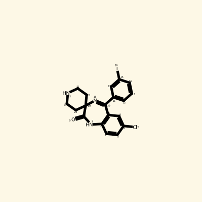 O=C1Nc2ccc(Cl)cc2C(c2cccc(I)c2)=NC12CCNCC2